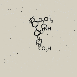 CC(Oc1cc(-c2ccc(N3CCN(C(=O)O)CC3)cc2)cc2ncsc12)[C@H]1CNC(=O)C1